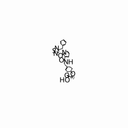 C[C@@H](OC1CC=C(CNC(=O)c2cccnc2Oc2nsnc2Cc2ccccc2)CC1)C(=O)O